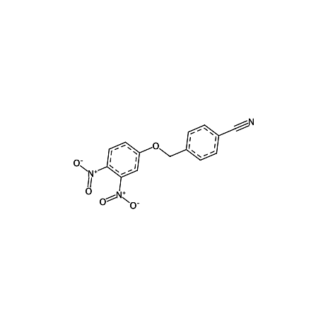 N#Cc1ccc(COc2ccc([N+](=O)[O-])c([N+](=O)[O-])c2)cc1